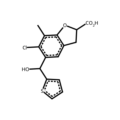 Cc1c(Cl)c(C(O)c2cccs2)cc2c1OC(C(=O)O)C2